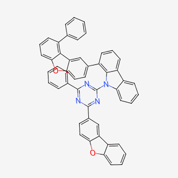 c1ccc(-c2nc(-c3ccc4oc5ccccc5c4c3)nc(-n3c4ccccc4c4cccc(-c5ccc6oc7cccc(-c8ccccc8)c7c6c5)c43)n2)cc1